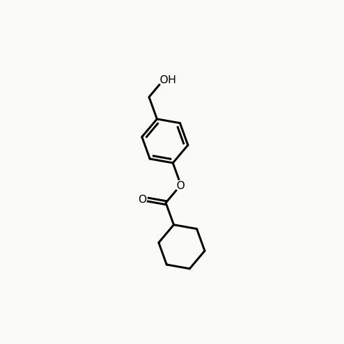 O=C(Oc1ccc(CO)cc1)C1CCCCC1